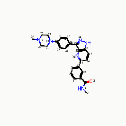 CNC(=O)c1cccc(-c2ccc3[nH]nc(-c4ccc(N5CCN(C)CC5)cc4)c3n2)c1